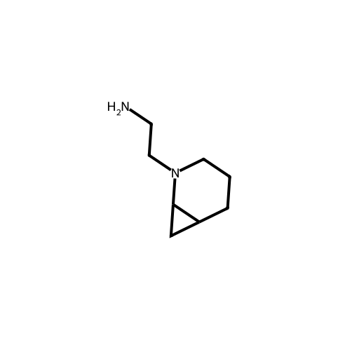 NCCN1CCCC2CC21